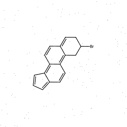 BrC1CC=c2ccc3c4c(ccc3c2C1)=CC=C4